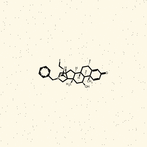 C[C@]12C=CC(=O)C=C1[C@@H](F)C[C@H]1[C@@H]3C[C@H]4CN(Cc5ccccc5)C[C@@]4(C(=O)SCF)[C@@]3(C)C[C@H](O)[C@@]12F